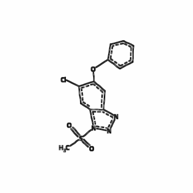 CS(=O)(=O)n1nnc2cc(Oc3ccccc3)c(Cl)cc21